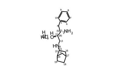 Cl.Cl.N[C@@H](Cc1ccccc1)[C@H](O)CN[C@H]1CC2CCC1C2